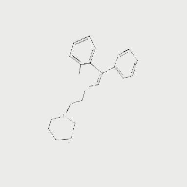 CCOC(=O)[C@@H]1CCCN(CCOC=C(c2ccccc2)c2ccccc2C)C1